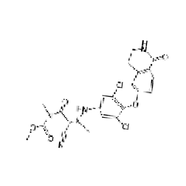 CCOC(=O)N(C)C(=O)C(C#N)N(C)Nc1cc(Cl)c(Oc2ccc3c(c2)CCNC3=O)c(Cl)c1